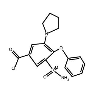 NS(=O)(=O)c1cc(C(=O)Cl)cc(N2CCCC2)c1Oc1ccccc1